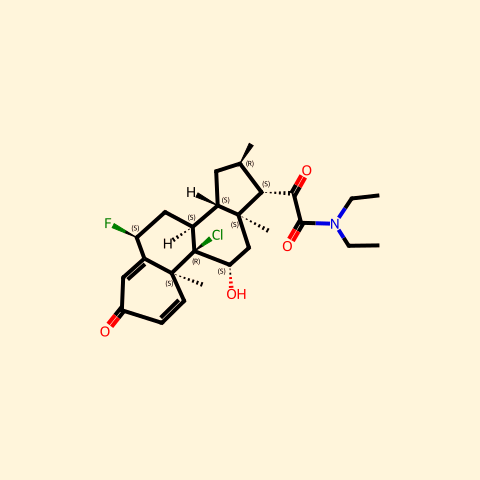 CCN(CC)C(=O)C(=O)[C@H]1[C@H](C)C[C@H]2[C@@H]3C[C@H](F)C4=CC(=O)C=C[C@]4(C)[C@@]3(Cl)[C@@H](O)C[C@@]21C